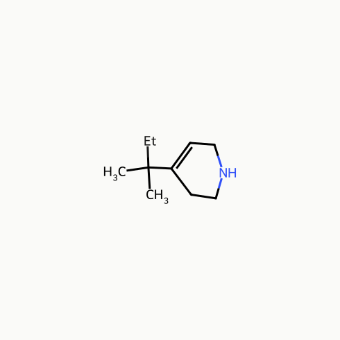 CCC(C)(C)C1=CCNCC1